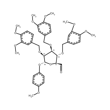 COc1ccc(O[C@H]2O[C@H](C=O)[C@@H](OCc3ccc(OC)c(OC)c3)[C@H](OCc3ccc(OC)c(OC)c3)[C@@H]2OCc2ccc(OC)c(OC)c2)cc1